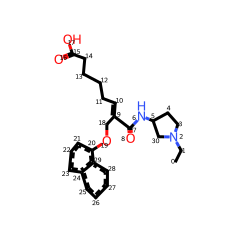 CCN1CCC(NC(=O)/C(=C/CCCCC(=O)O)COc2cccc3ccccc23)C1